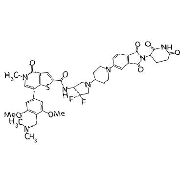 COc1cc(-c2cn(C)c(=O)c3cc(C(=O)NC4CN(C5CCN(c6ccc7c(c6)C(=O)N(C6CCC(=O)NC6=O)C7=O)CC5)CC4(F)F)sc23)cc(OC)c1CN(C)C